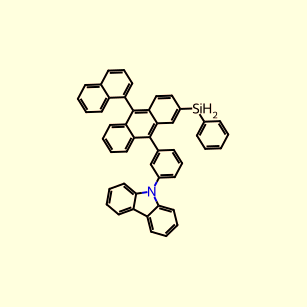 c1ccc([SiH2]c2ccc3c(-c4cccc5ccccc45)c4ccccc4c(-c4cccc(-n5c6ccccc6c6ccccc65)c4)c3c2)cc1